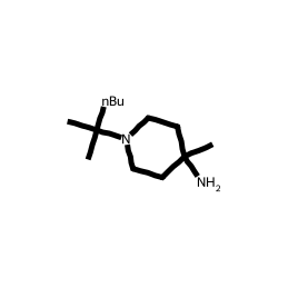 CCCCC(C)(C)N1CCC(C)(N)CC1